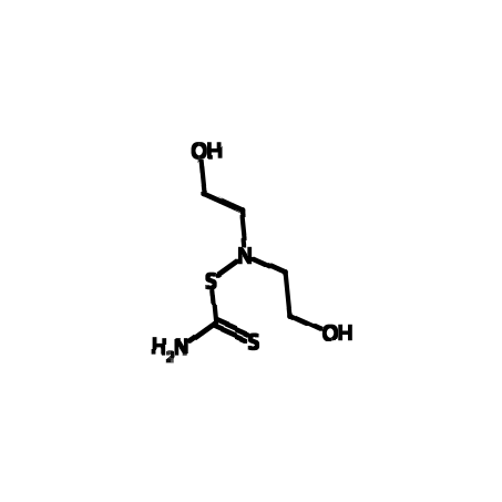 NC(=S)SN(CCO)CCO